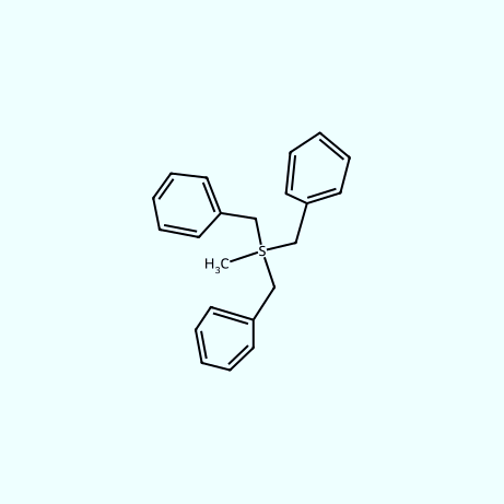 CS(Cc1ccccc1)(Cc1ccccc1)Cc1ccccc1